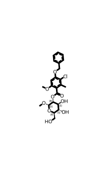 COc1cc(OCc2ccccc2)c(Cl)c(C)c1C(=O)O[C@H]1[C@@H](OC)O[C@H](CO)[C@@H](O)[C@@H]1O